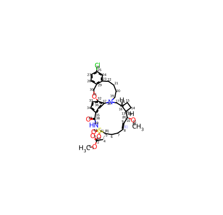 COC(=O)C[C@H]1CC/C=C/[C@H](OC)[C@@H]2CC[C@H]2CN2CCCCc3cc(Cl)ccc3COc3ccc(cc32)C(=O)NS1(=O)=O